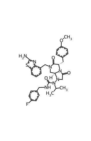 COc1ccc(C[C@H]2C(=O)N(Cc3cccc4sc(N)nc34)C[C@H]3N2C(=O)CN3N(C(=O)NCc2ccc(F)cc2)C(C)C)cc1